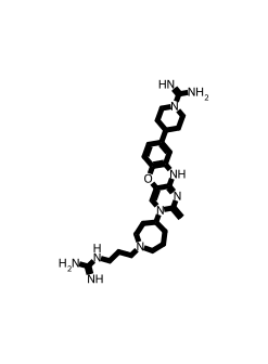 C=C1N=C2Nc3cc(C4CCN(C(=N)N)CC4)ccc3OC2=CN1C1CCCN(CCCNC(=N)N)CC1